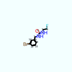 O=C(NCCF)NCc1cccc(Br)c1